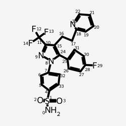 NS(=O)(=O)c1ccc(-n2nc(C(F)(F)F)c(CCc3ccccn3)c2-c2ccc(F)cc2)cc1